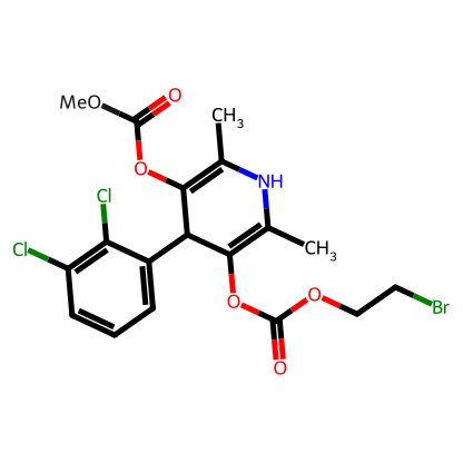 COC(=O)OC1=C(C)NC(C)=C(OC(=O)OCCBr)C1c1cccc(Cl)c1Cl